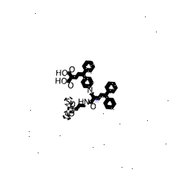 C[Si](C)(C)O[Si](C)(CCCNC(=O)/C(C#N)=C/C=C(c1ccccc1)c1ccccc1)O[Si](C)(C)C.O=C(O)C(=CC=C(c1ccccc1)c1ccccc1)C(=O)O